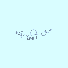 O=S(=O)(O)C=Cc1n[nH]c2c1CCCCC2Cc1ccc(F)cc1